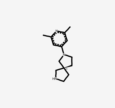 Cc1cc(N2CC[C@]3(CCNC3)C2)cc(C)n1